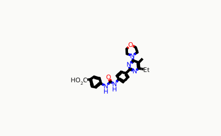 CCc1nc(-c2ccc(NC(=O)Nc3ccc(C(=O)O)cc3)cc2)nc(N2CCOCC2)c1C